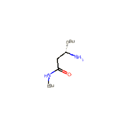 CCCC[C@H](N)CC(=O)NC(C)(C)C